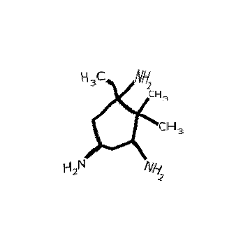 CC1(N)CC(N)C(N)C1(C)C